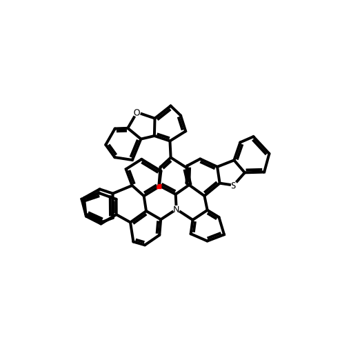 c1ccc(-c2ccccc2-c2c(-c3ccccc3)cccc2N(c2ccc(-c3cccc4oc5ccccc5c34)cc2)c2ccccc2-c2cccc3c2sc2ccccc23)cc1